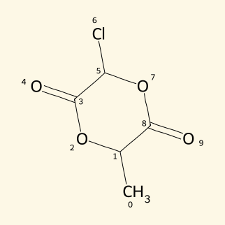 CC1OC(=O)C(Cl)OC1=O